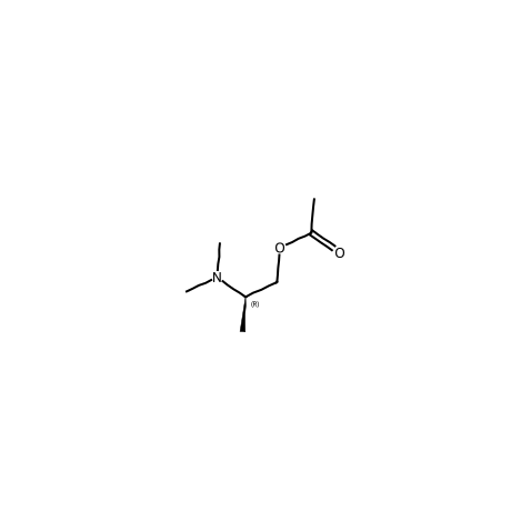 CC(=O)OC[C@@H](C)N(C)C